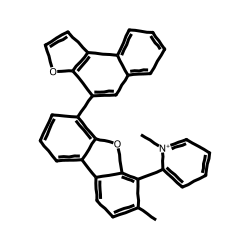 Cc1ccc2c(oc3c(-c4cc5ccccc5c5ccoc45)cccc32)c1-c1cccc[n+]1C